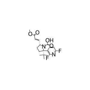 COC(=O)C=C[C@H]1CC[C@@](c2ccc(F)nc2F)(C(C)(C)C)N1C(=O)O